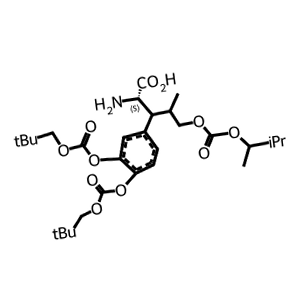 CC(C)C(C)OC(=O)OCC(C)C(c1ccc(OC(=O)OCC(C)(C)C)c(OC(=O)OCC(C)(C)C)c1)[C@H](N)C(=O)O